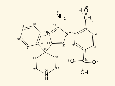 Cc1ccc(S(=O)(=O)O)cc1.Nc1nc(C2(c3ccccc3)CCNCC2)cs1.O